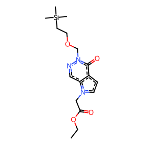 CCOC(=O)Cn1ccc2c(=O)n(COCC[Si](C)(C)C)ncc21